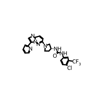 O=C(Nc1ccc(Cl)c(C(F)(F)F)c1)N[C@@H]1CCN(c2ccc3ncc(-c4ccccn4)n3n2)C1